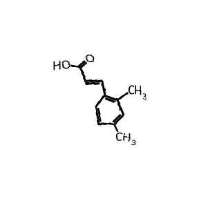 Cc1ccc(C=CC(=O)O)c(C)c1